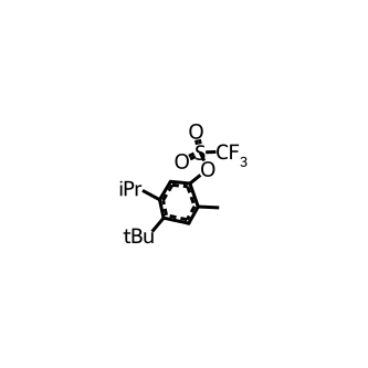 Cc1cc(C(C)(C)C)c(C(C)C)cc1OS(=O)(=O)C(F)(F)F